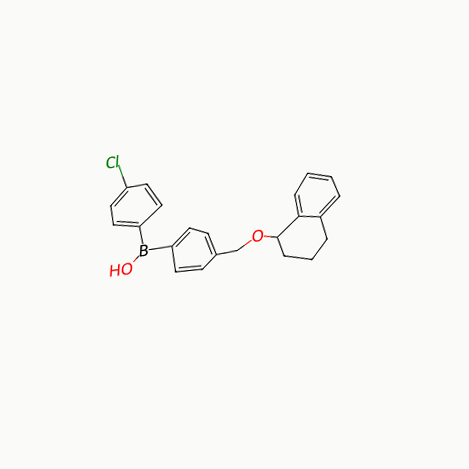 OB(c1ccc(Cl)cc1)c1ccc(COC2CCCc3ccccc32)cc1